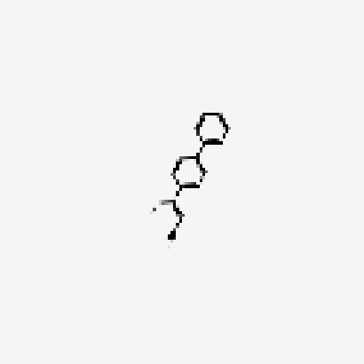 CO/C(=C\C#N)c1ccc(-c2ccccc2)cc1